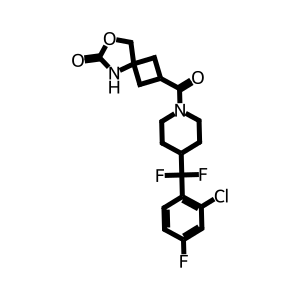 O=C1NC2(CO1)CC(C(=O)N1CCC(C(F)(F)c3ccc(F)cc3Cl)CC1)C2